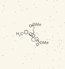 COC(=O)CCCC(=O)OC1(C#Cc2cccc(C)c2)CCCC2C1CCN2C(=O)OC